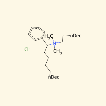 CCCCCCCCCCCCCCC(c1ccccc1)[N+](C)(C)CCCCCCCCCCCC.[Cl-]